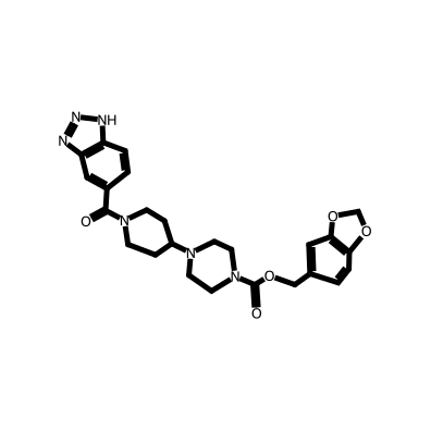 O=C(OCc1ccc2c(c1)OCO2)N1CCN(C2CCN(C(=O)c3ccc4[nH]nnc4c3)CC2)CC1